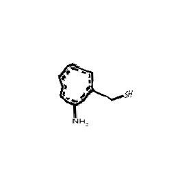 Nc1ccccc1CS